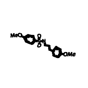 COc1ccc(/C=C/C=N/S(=O)(=O)c2ccc(OC)cc2)cc1